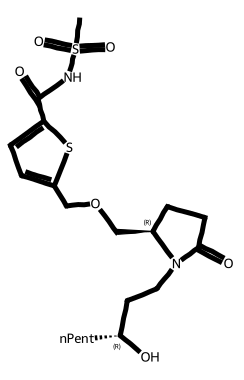 CCCCC[C@@H](O)CCN1C(=O)CC[C@@H]1COCc1ccc(C(=O)NS(C)(=O)=O)s1